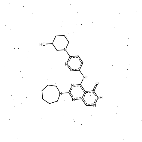 O=c1[nH]ncc2nc(N3CCCCCC3)nc(Nc3ccc(N4CCCC(O)C4)nc3)c12